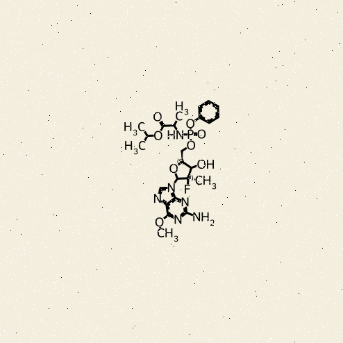 COc1nc(N)nc2c1ncn2C1O[C@@H](COP(=O)(NC(C)C(=O)OC(C)C)Oc2ccccc2)C(O)[C@@]1(C)F